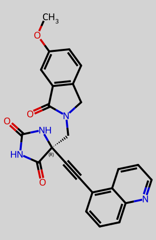 COc1ccc2c(c1)C(=O)N(C[C@@]1(C#Cc3cccc4ncccc34)NC(=O)NC1=O)C2